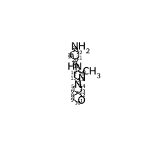 Cc1nc(N2CCC3(CCCOC3)CC2)ccc1NC[C@H]1CC[C@H](N)CC1